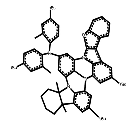 Cc1cc(C(C)(C)C)ccc1N(c1cc2c3c(c1)-n1c4oc5ccccc5c4c4cc(C(C)(C)C)cc(c41)B3c1cc(C(C)(C)C)cc3c1N2C1(C)CCCCC31C)c1ccc(C(C)(C)C)cc1C